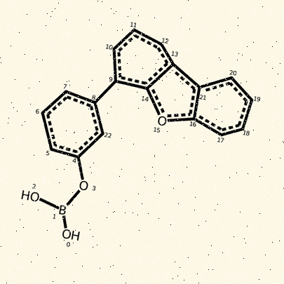 OB(O)Oc1cccc(-c2cccc3c2oc2ccccc23)c1